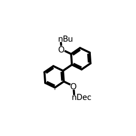 CCCCCCCCCCOc1[c]cccc1-c1ccccc1OCCCC